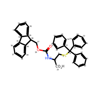 O=C(NC(CSC(c1ccccc1)(c1ccccc1)c1ccccc1)C(=O)O)OCC1c2ccccc2-c2ccccc21